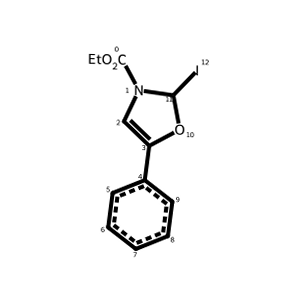 CCOC(=O)N1C=C(c2ccccc2)OC1I